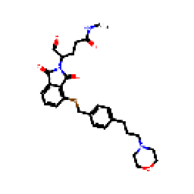 CNC(=O)CCC(C=O)N1C(=O)c2cccc(SCc3ccc(CCCN4CCOCC4)cc3)c2C1=O